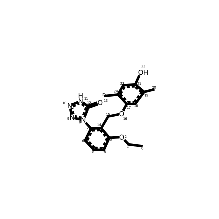 CCOc1cccc(-n2nn[nH]c2=O)c1COc1cc(C)c(O)cc1C